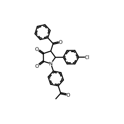 CC(=O)c1ccc(N2C(=O)C(=O)C(C(=O)c3ccccc3)C2c2ccc(Cl)cc2)cc1